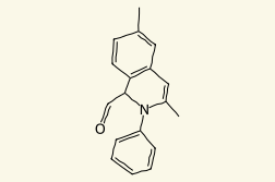 CC1=Cc2cc(C)ccc2C(C=O)N1c1ccccc1